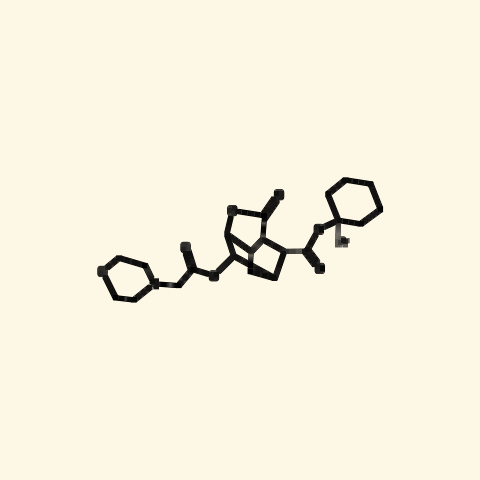 CC(C)C1(OC(=O)C2C3CC4C(OC(=O)C42)C3OC(=O)CN2CCOCC2)CCCCC1